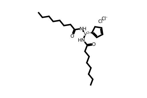 CCCCCCCC(=O)[NH][V+2]([NH]C(=O)CCCCCCC)[C]1=CC=CC1.[Cl-].[Cl-]